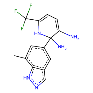 Cc1cc(C2(N)NC(C(F)(F)F)=CC=C2N)cc2cn[nH]c12